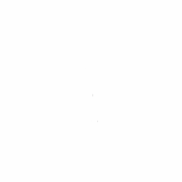 C=CCC1=C(OC=O)CCCC1